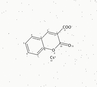 O=C([O-])c1cc2ccccc2oc1=O.[Cs+]